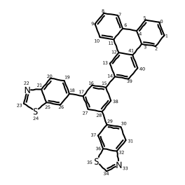 c1ccc2c(c1)c1ccccc1c1cc(-c3cc(-c4ccc5ncsc5c4)cc(-c4ccc5ncsc5c4)c3)ccc21